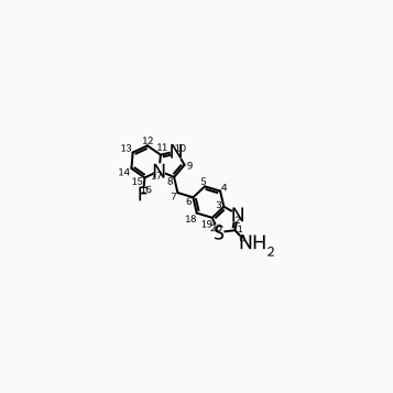 Nc1nc2ccc(Cc3cnc4cccc(F)n34)cc2s1